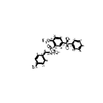 O=S(=O)(NCc1ccc(Br)cc1)c1cc(S(=O)(=O)c2ccccc2)ccc1C(F)(F)F